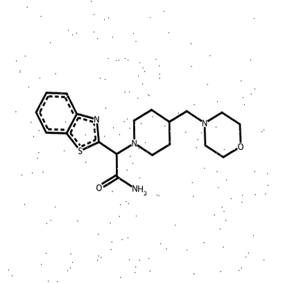 NC(=O)C(c1nc2ccccc2s1)N1CCC(CN2CCOCC2)CC1